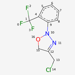 FC(F)(F)c1ccccc1N1N=C(CCl)CO1